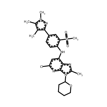 Cc1c(-c2ccc(Nc3cc(Cl)nc4c3nc(C)n4C3CCCCO3)c(S(C)(=O)=O)c2)nn(C)c1C